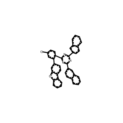 Clc1ccc(-c2nc(-c3ccc4ccccc4c3)nc(-c3ccc4ccccc4c3)n2)c(-c2ccc3c(c2)oc2ccccc23)c1